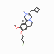 COc1cc2c(cc1OCCCF)CCN1C[C@@H](CC3CCC3)N(C)C[C@H]21